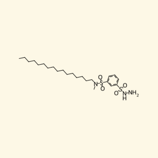 CCCCCCCCCCCCCCCCN(C)S(=O)(=O)c1cccc(S(=O)(=O)NN)c1